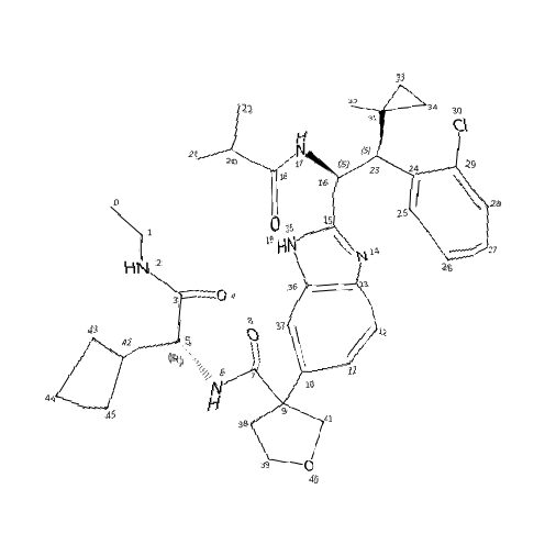 CCNC(=O)[C@H](NC(=O)C1(c2ccc3nc([C@@H](NC(=O)C(C)C)[C@H](c4ccccc4Cl)C4(C)CC4)[nH]c3c2)CCOC1)C1CCC1